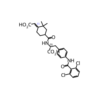 CC1(C)CC(C(=O)N[C@@H](Cc2ccc(NC(=O)c3c(Cl)cccc3Cl)cc2)C(=O)O)CC/C1=C\C(=O)O